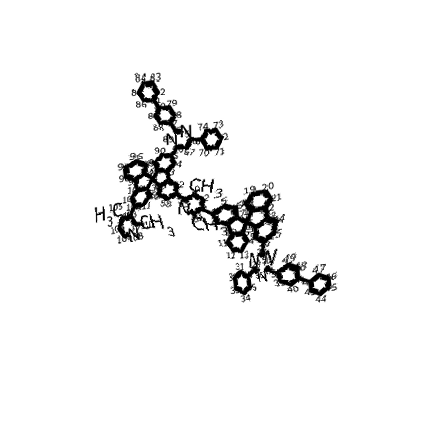 Cc1cc(-c2ccc3c(c2)-c2ccccc2C32c3ccccc3-c3ccc(-c4nc(-c5ccccc5)nc(-c5ccc(-c6ccccc6)cc5)n4)cc32)c(C)nc1-c1ccc2c(c1)-c1cc(-c3cc(-c4ccccc4)nc(-c4ccc(-c5ccccc5)cc4)n3)ccc1C21c2ccccc2-c2cc(-c3c(C)ccnc3C)ccc21